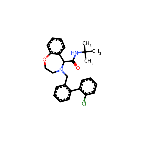 CC(C)(C)NC(=O)C1c2ccccc2OCCN1Cc1ccccc1-c1ccccc1Cl